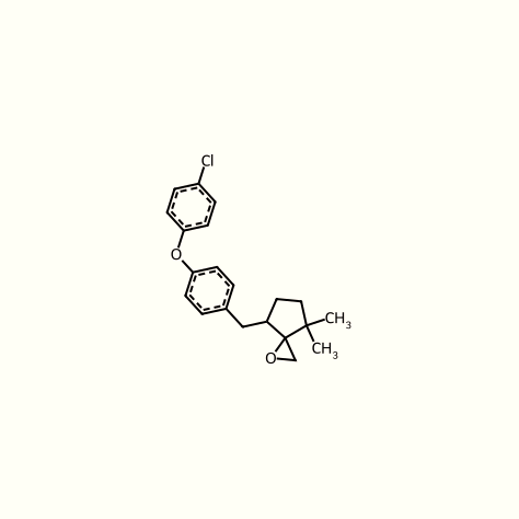 CC1(C)CCC(Cc2ccc(Oc3ccc(Cl)cc3)cc2)C12CO2